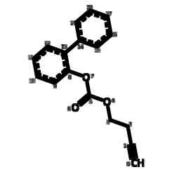 C#CCCOC(=O)Oc1ccccc1-c1ccccc1